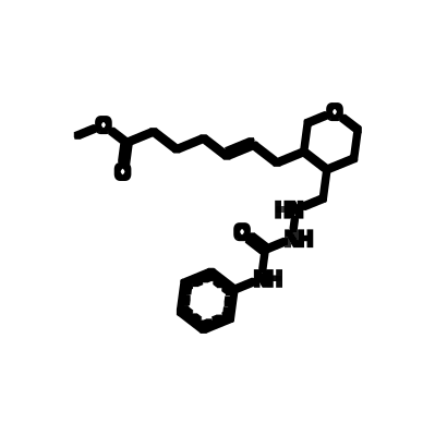 COC(=O)CCCC=CCC1COCCC1CNNC(=O)Nc1ccccc1